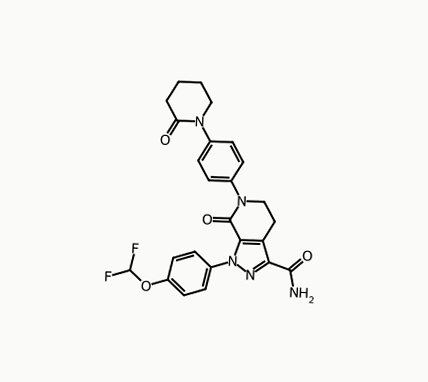 NC(=O)c1nn(-c2ccc(OC(F)F)cc2)c2c1CCN(c1ccc(N3CCCCC3=O)cc1)C2=O